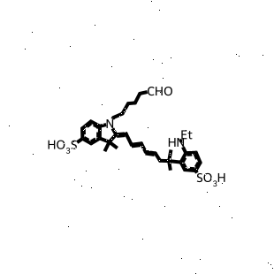 CCNc1ccc(S(=O)(=O)O)cc1C(C)(C)C/C=C/C=C/C=C1/N(CCCCCC=O)c2ccc(S(=O)(=O)O)cc2C1(C)C